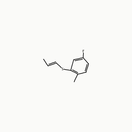 C/C=C/Sc1cc(F)ccc1C